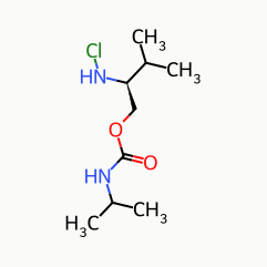 CC(C)NC(=O)OC[C@@H](NCl)C(C)C